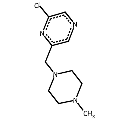 CN1CCN(Cc2cncc(Cl)n2)CC1